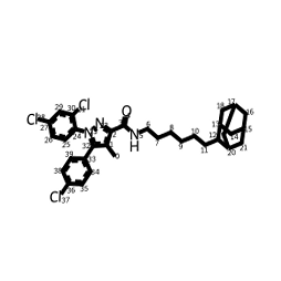 Cc1c(C(=O)NCCCCCCC2C3CC4CC(C3)CC2C4)nn(-c2ccc(Cl)cc2Cl)c1-c1ccc(Cl)cc1